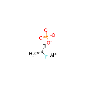 C=[C](F)[Ti].O=P([O-])([O-])[O-].[Al+3]